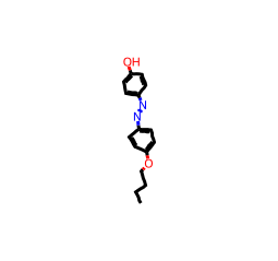 CCCCOc1ccc(N=Nc2ccc(O)cc2)cc1